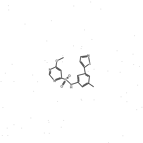 COc1cc(S(=O)(=O)Nc2cc(C)cc(-c3ccns3)c2)ncn1